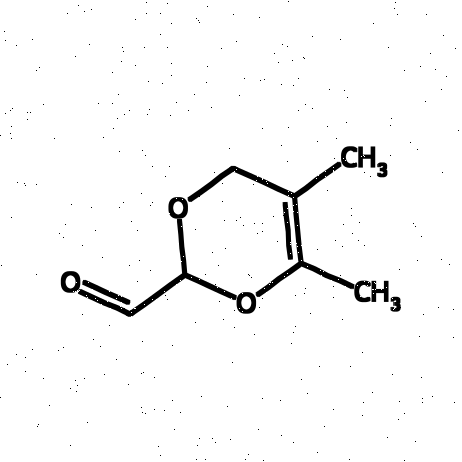 CC1=C(C)OC(C=O)OC1